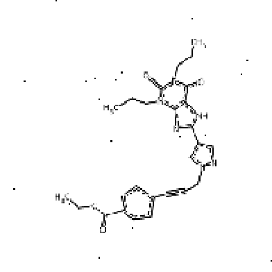 CCCn1c(=O)c2[nH]c(-c3cnn(CC#Cc4ccc(C(=O)OCC)cc4)c3)nc2n(CCC)c1=O